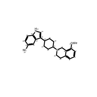 COc1cccc2c1CN(C1CCC(c3c[nH]c4ccc(C#N)cc34)CC1)CC2